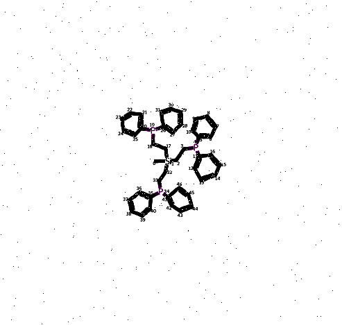 C[Si](CCP(c1ccccc1)c1ccccc1)(CCP(c1ccccc1)c1ccccc1)CCP(c1ccccc1)c1ccccc1